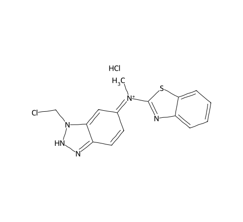 C[N+](c1nc2ccccc2s1)=c1ccc2n[nH]n(CCl)c-2c1.Cl